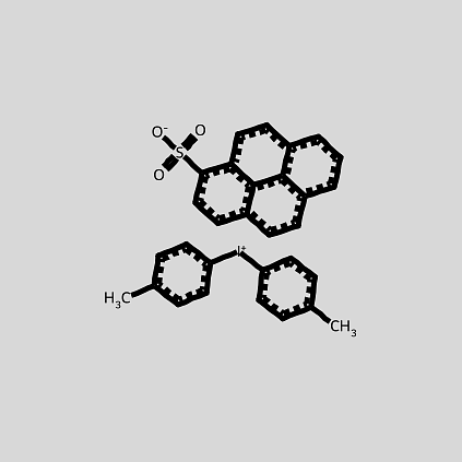 Cc1ccc([I+]c2ccc(C)cc2)cc1.O=S(=O)([O-])c1ccc2ccc3cccc4ccc1c2c34